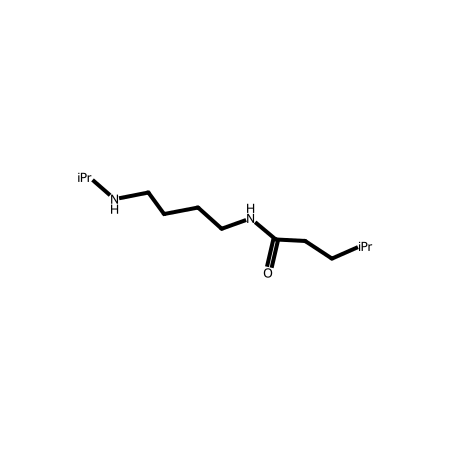 CC(C)CCC(=O)NCCCCNC(C)C